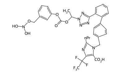 CCCc1nc(C(F)(F)C(F)(F)F)c(C(=O)O)n1Cc1ccc(-c2ccccc2-c2nnn(C(C)OC(=O)Oc3cccc(CON(O)O)c3)n2)cc1